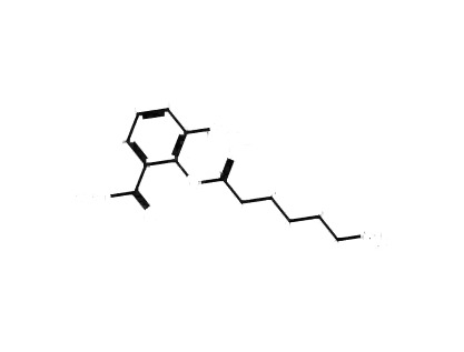 CCCCCCCCC(=O)c1cccc(S(=O)(=O)O)c1OC(=O)CCCCCN